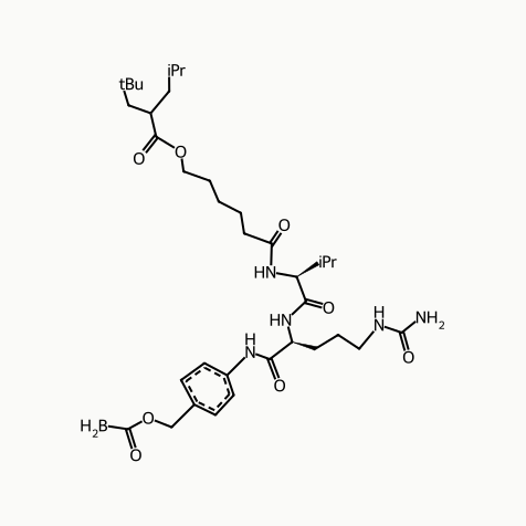 BC(=O)OCc1ccc(NC(=O)[C@H](CCCNC(N)=O)NC(=O)[C@@H](NC(=O)CCCCCOC(=O)C(CC(C)C)CC(C)(C)C)C(C)C)cc1